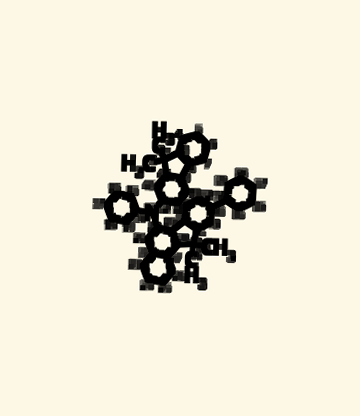 CC1(C)c2ccccc2-c2ccc(N(c3ccccc3)c3cc4ccccc4c4c3-c3ccc(-c5ccccc5)cc3C4(C)C)cc21